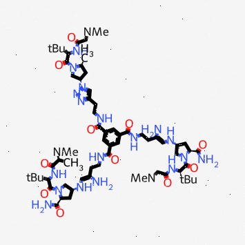 CNCC(=O)NC(C(=O)N1C[C@@H](n2cc(CCNC(=O)c3cc(C(=O)NCC/C(N)=C/N[C@H]4C[C@@H](C(N)=O)N(C(=O)C(NC(=O)[C@H](C)NC)C(C)(C)C)C4)cc(C(=O)NCC/C(N)=C/N[C@H]4C[C@@H](C(N)=O)N(C(=O)[C@@H](NC(=O)CNC)C(C)(C)C)C4)c3)nn2)C[C@H]1C)C(C)(C)C